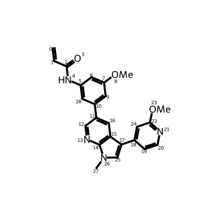 C=CC(=O)Nc1cc(OC)cc(-c2cnc3c(c2)c(-c2ccnc(OC)c2)cn3C)c1